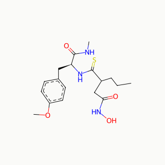 CCCC(CC(=O)NO)C(=S)N[C@@H](Cc1ccc(OC)cc1)C(=O)NC